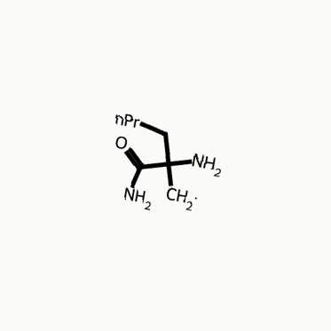 [CH2]C(N)(CCCC)C(N)=O